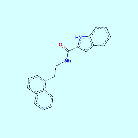 O=C(NCCc1cccc2ccccc12)c1cc2ccccc2[nH]1